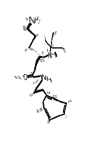 CC(C)(C)N[C@@H](CCCN)C(=O)NCc1ccccc1